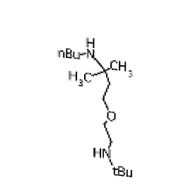 CCCCNC(C)(C)CCOCCNC(C)(C)C